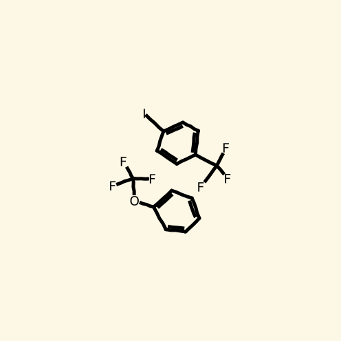 FC(F)(F)Oc1ccccc1.FC(F)(F)c1ccc(I)cc1